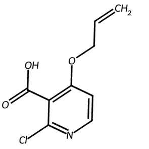 C=CCOc1ccnc(Cl)c1C(=O)O